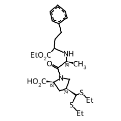 CCOC(=O)C(CCc1ccccc1)N[C@@H](C)C(=O)N1C[C@@H](C(SCC)SCC)C[C@H]1C(=O)O